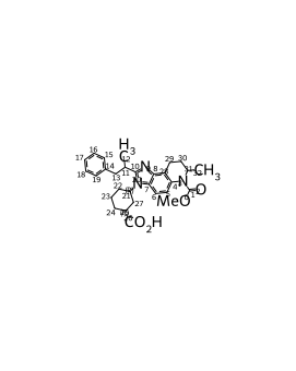 COC(=O)N1c2ccc3c(nc(C(C)Cc4ccccc4)n3[C@@H]3CCC[C@@H](C(=O)O)C3)c2CCC1C